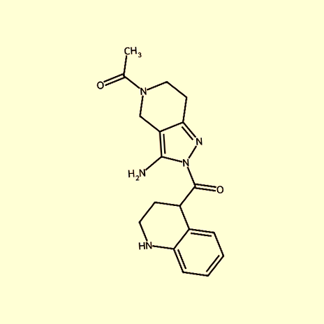 CC(=O)N1CCc2nn(C(=O)C3CCNc4ccccc43)c(N)c2C1